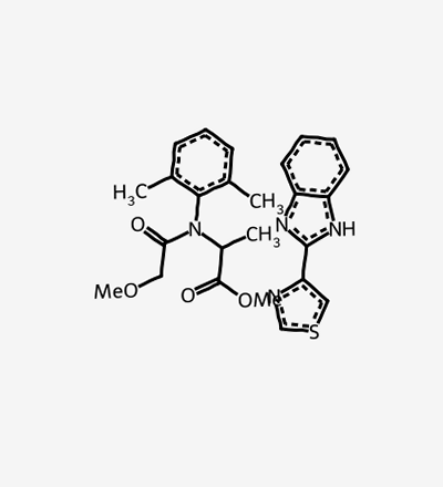 COCC(=O)N(c1c(C)cccc1C)C(C)C(=O)OC.c1ccc2[nH]c(-c3cscn3)nc2c1